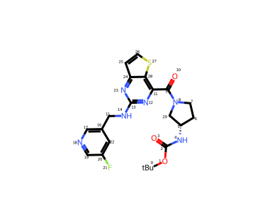 CC(C)(C)OC(=O)N[C@H]1CCN(C(=O)c2nc(NCc3cncc(F)c3)nc3ccsc23)C1